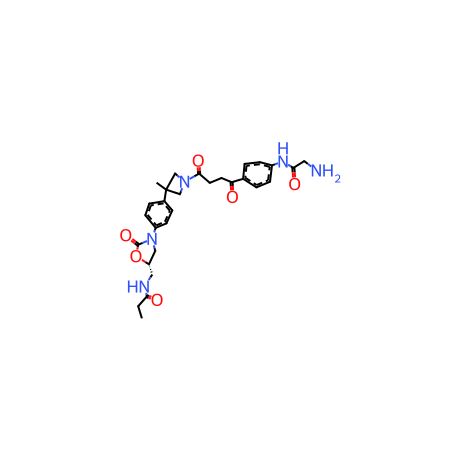 CCC(=O)NC[C@H]1CN(c2ccc(C3(C)CN(C(=O)CCC(=O)c4ccc(NC(=O)CN)cc4)C3)cc2)C(=O)O1